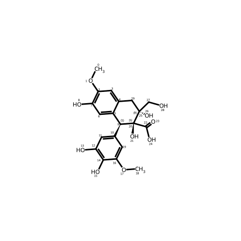 COc1cc2c(cc1O)[C@H](c1cc(O)c(O)c(OC)c1)[C@@](O)(C(=O)O)[C@](O)(CO)C2